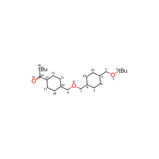 CC(C)(C)OCC1CCC(COCC2CCC(C(=O)C(C)(C)C)CC2)CC1